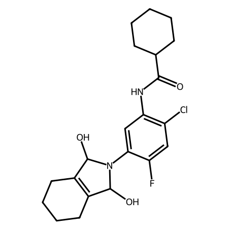 O=C(Nc1cc(N2C(O)C3=C(CCCC3)C2O)c(F)cc1Cl)C1CCCCC1